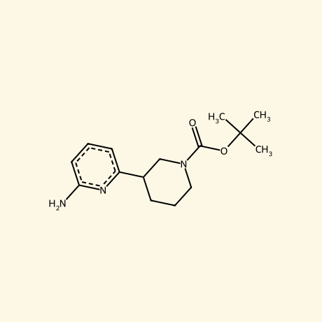 CC(C)(C)OC(=O)N1CCCC(c2cccc(N)n2)C1